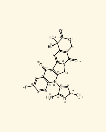 CC[C@@]1(O)C(=O)OCc2c1cc1n(c2=O)Cc2c-1c(=O)c1cc(F)ccc1n2-c1cn(C)nc1N